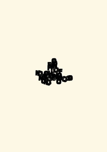 Cc1cc(N2CCOC[C@@H]2C(F)(F)F)cc(F)c1C(=O)NC(Cc1ccc(N2C(=O)N(C)c3cnccc3C2O)c2ncccc12)C(=O)Oc1ccc2c(c1)COC2